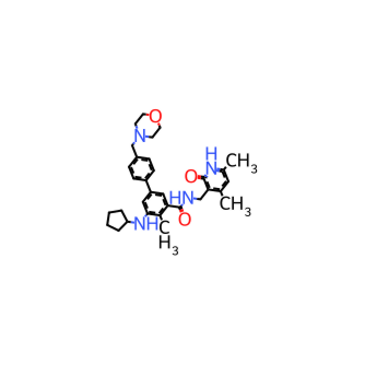 Cc1cc(C)c(CNC(=O)c2cc(-c3ccc(CN4CCOCC4)cc3)cc(NC3CCCC3)c2C)c(=O)[nH]1